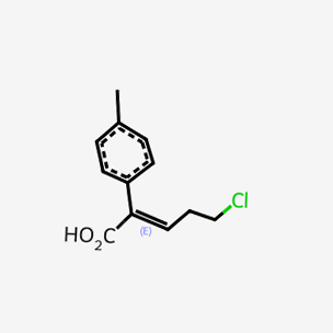 Cc1ccc(/C(=C\CCCl)C(=O)O)cc1